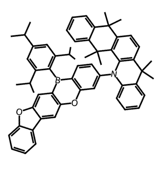 CC(C)c1cc(C(C)C)c(B2c3ccc(N4c5ccccc5C(C)(C)c5ccc6c(c54)C(C)(C)c4ccccc4C6(C)C)cc3Oc3cc4c(cc32)oc2ccccc24)c(C(C)C)c1